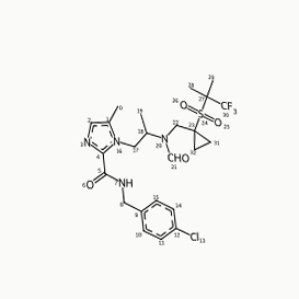 Cc1cnc(C(=O)NCc2ccc(Cl)cc2)n1CC(C)N(C=O)CC1(S(=O)(=O)C(C)(C)C(F)(F)F)CC1